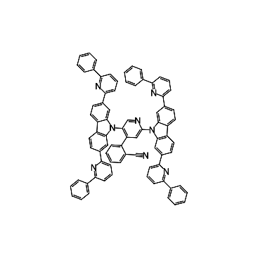 N#Cc1ccccc1-c1cc(-n2c3cc(-c4cccc(-c5ccccc5)n4)ccc3c3ccc(-c4cccc(-c5ccccc5)n4)cc32)ncc1-n1c2cc(-c3cccc(-c4ccccc4)n3)ccc2c2ccc(-c3cccc(-c4ccccc4)n3)cc21